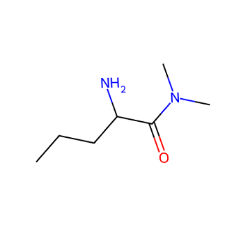 CCCC(N)C(=O)N(C)C